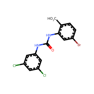 O=C(Nc1cc(Cl)cc(Cl)c1)Nc1cc(Br)ccc1C(=O)O